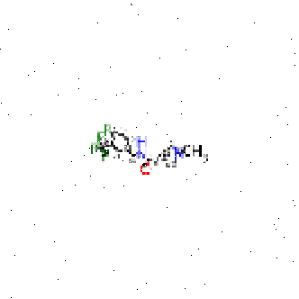 CN1CC2C(C1)C2C(=O)NCc1ccc(F)c(C(F)(F)F)c1